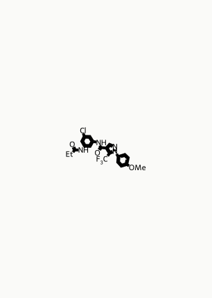 CCC(=O)Nc1cc(Cl)cc(NC(=O)c2cnn(-c3ccc(OC)cc3)c2C(F)(F)F)c1